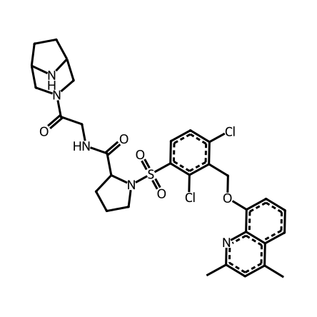 Cc1cc(C)c2cccc(OCc3c(Cl)ccc(S(=O)(=O)N4CCCC4C(=O)NCC(=O)N4CC5CCC(C4)N5)c3Cl)c2n1